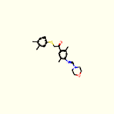 Cc1ccc(SCC(=O)c2cc(C)c(N=CN3CCOCC3)cc2C)cc1C